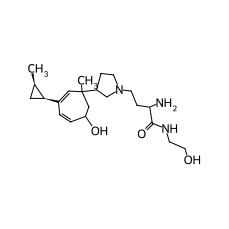 C[C@@H]1C[C@@H]1C1=CC(C)(C2CCN(CCC(N)C(=O)NCCO)C2)CC(O)C=C1